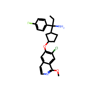 CCC(N)(c1ccc(F)cc1)C1CCC(Oc2cc3ccnc(OC)c3cc2Cl)C1